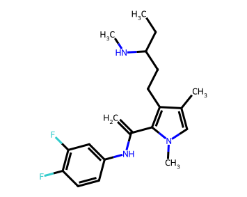 C=C(Nc1ccc(F)c(F)c1)c1c(CCC(CC)NC)c(C)cn1C